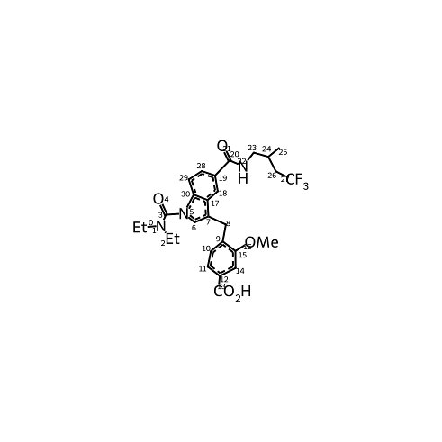 CCN(CC)C(=O)n1cc(Cc2ccc(C(=O)O)cc2OC)c2cc(C(=O)NCC(C)CC(F)(F)F)ccc21